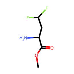 COC(=O)[C@@H](N)CC(F)F